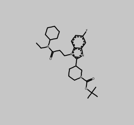 CCN(C(=O)CCn1c(C2CCCN(C(=O)OC(C)(C)C)C2)nc2cc(F)ccc21)C1CCCCC1